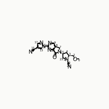 COC[C@@H]1C[C@@H](N2Cc3cnc(-n4cc(C#N)cn4)nc3C2=O)CN1C#N